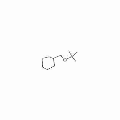 CC(C)(C)O[CH]C1CCCCC1